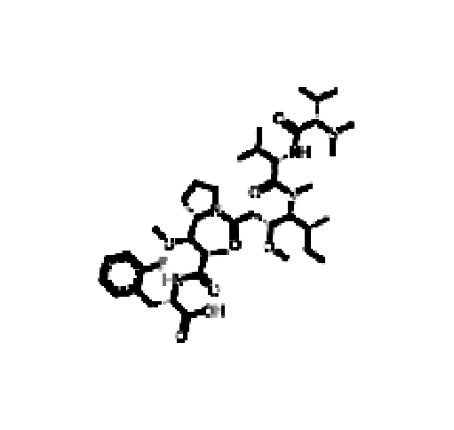 CC[C@H](C)[C@@H]([C@@H](CC(=O)N1CCC[C@H]1[C@H](OC)[C@@H](C)C(=O)N[C@@H](Cc1ccccc1F)C(=O)O)OC)N(C)C(=O)[C@@H](NC(=O)[C@H](C(C)C)N(C)C)C(C)C